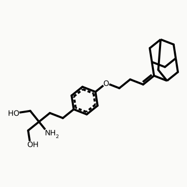 NC(CO)(CO)CCc1ccc(OCCC=C2C3CC4CC(C3)CC2C4)cc1